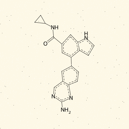 Nc1ncc2cc(-c3cc(C(=O)NC4CC4)cc4[nH]ccc34)ccc2n1